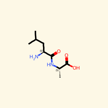 CC(C)C[C@H](N)C(=O)N[C@@H](C)C(=O)O